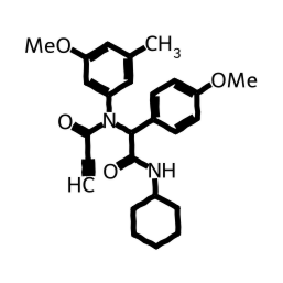 C#CC(=O)N(c1cc(C)cc(OC)c1)C(C(=O)NC1CCCCC1)c1ccc(OC)cc1